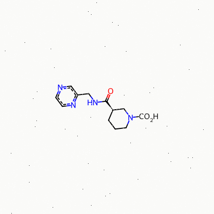 O=C(NCc1cnccn1)[C@@H]1CCCN(C(=O)O)C1